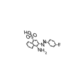 Nc1c(N=Nc2ccc(F)cc2)cc(S(=O)(=O)O)c2ccccc12